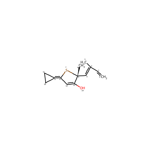 C=C/C(C)=C/[C@@]1(C)SC(=C2CC2)C=C1O